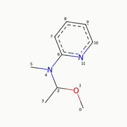 COC(C)N(C)c1cc[c]cn1